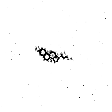 C=C(CCC)[C@H]1CC[C@H]2[C@@H]3CCC4=C(CC=C(OC)C4)[C@H]3CC[C@]12C